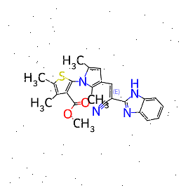 COC(=O)c1c(-n2c(C)cc(/C=C(\C#N)c3nc4ccccc4[nH]3)c2C)sc(C)c1C